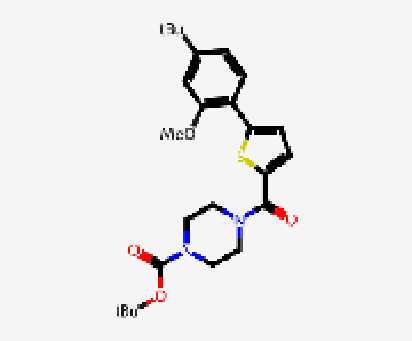 COc1cc(C(C)(C)C)ccc1-c1ccc(C(=O)N2CCN(C(=O)OC(C)(C)C)CC2)s1